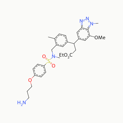 CCOC(=O)CC(c1ccc(C)c(CN(C)S(=O)(=O)c2ccc(OCCCN)cc2)c1)c1cc(OC)c2c(c1)nnn2C